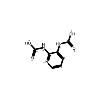 O=C(O)Nc1cccnc1NC(=O)O